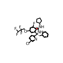 O=C(NC1CCCC1)N[C@](Cc1ccccc1)(c1cc(F)cc(OCC(F)(F)C(F)F)c1)c1ccc(Cl)cn1